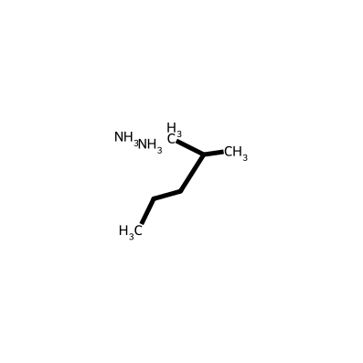 CCCC(C)C.N.N